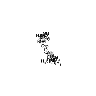 COC(=O)N[C@H](C(=O)N1[C@@H](C)CC[C@H]1c1nc2ccc3cc4c(cc3c2[nH]1)OCc1cc(-c2cnc([C@@H]3CC[C@H](C)N3C(=O)[C@H](C3CCOCC3)N(C)C(=O)O)[nH]2)ccc1-4)[C@@H](C)OC